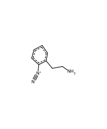 N#[N+]c1ccccc1CCN